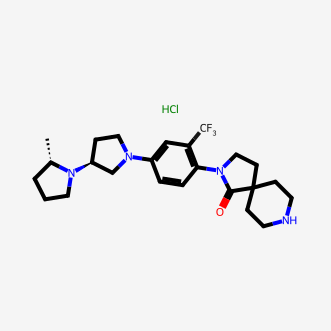 C[C@H]1CCCN1[C@H]1CCN(c2ccc(N3CCC4(CCNCC4)C3=O)c(C(F)(F)F)c2)C1.Cl